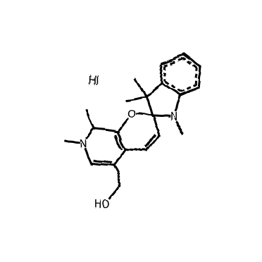 CC1C2=C(C=CC3(O2)N(C)c2ccccc2C3(C)C)C(CO)=CN1C.I